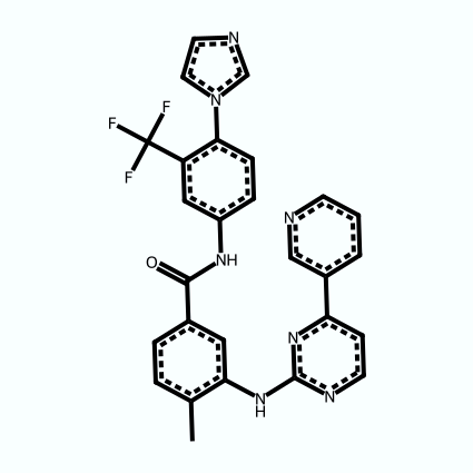 Cc1ccc(C(=O)Nc2ccc(-n3ccnc3)c(C(F)(F)F)c2)cc1Nc1nccc(-c2cccnc2)n1